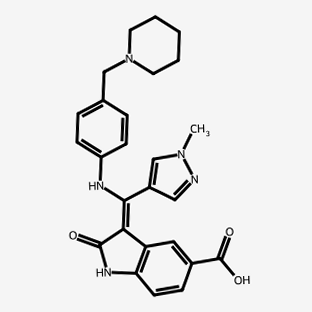 Cn1cc(/C(Nc2ccc(CN3CCCCC3)cc2)=C2/C(=O)Nc3ccc(C(=O)O)cc32)cn1